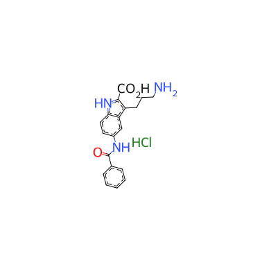 Cl.NCCCc1c(C(=O)O)[nH]c2ccc(NC(=O)c3ccccc3)cc12